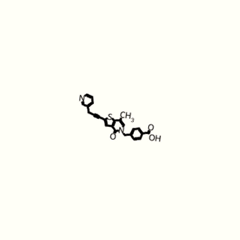 Cc1cn(Cc2ccc(C(=O)O)cc2)c(=O)c2cc(C#CCc3cccnc3)sc12